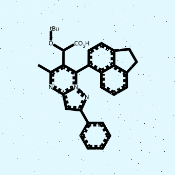 Cc1nc2cc(-c3ccccc3)nn2c(-c2ccc3c4c(cccc24)CC3)c1C(OC(C)(C)C)C(=O)O